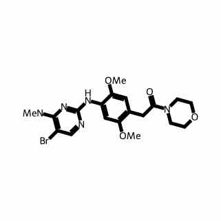 CNc1nc(Nc2cc(OC)c(CC(=O)N3CCOCC3)cc2OC)ncc1Br